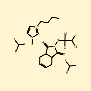 CCCC[n+]1ccn(C)c1.FC(F)F.FC(F)F.O=C1C2CC=CCC2C(=O)N1SC(Cl)(Cl)C(Cl)Cl